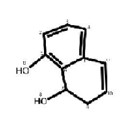 Oc1cccc2c1C(O)CC=C2